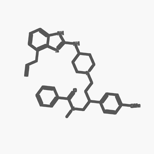 C=CCc1cccc2[nH]c(NC3CCN(CCC(CN(C)C(=O)c4ccccc4)c4ccc(OC)cc4)CC3)nc12